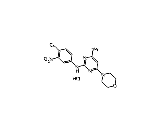 CCCc1cc(N2CCOCC2)nc(Nc2ccc(Cl)c([N+](=O)[O-])c2)n1.Cl